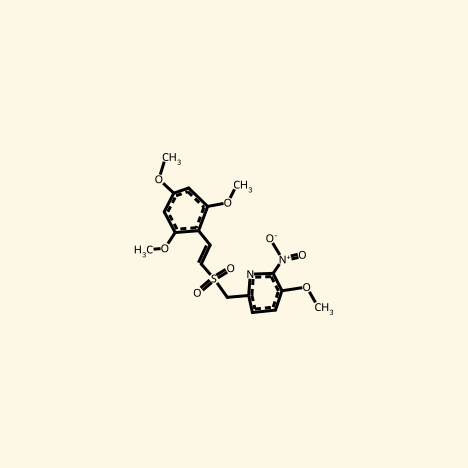 COc1cc(OC)c(C=CS(=O)(=O)Cc2ccc(OC)c([N+](=O)[O-])n2)c(OC)c1